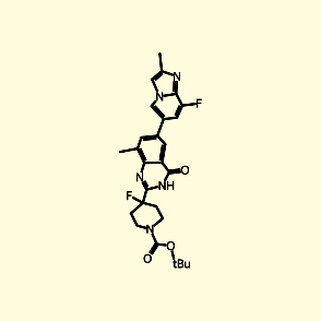 Cc1cn2cc(-c3cc(C)c4nc(C5(F)CCN(C(=O)OC(C)(C)C)CC5)[nH]c(=O)c4c3)cc(F)c2n1